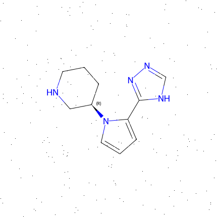 c1cc(-c2nnc[nH]2)n([C@@H]2CCCNC2)c1